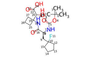 CC(C)(C)OC(=O)N[C@@H](CC1(F)CCCC1)C(=O)NC1(C(O)C(=O)O)CCC1